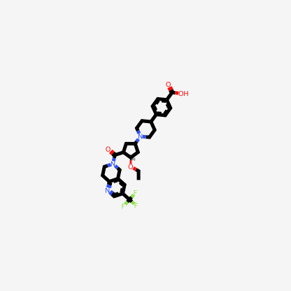 CCO[C@@H]1CC(N2CCC(c3ccc(C(=O)O)cc3)CC2)CC1C(=O)N1CCc2ncc(C(F)(F)F)cc2C1